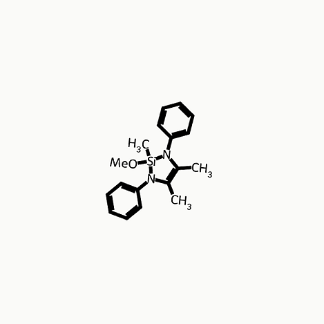 CO[Si]1(C)N(c2ccccc2)C(C)=C(C)N1c1ccccc1